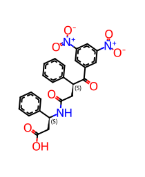 O=C(O)C[C@H](NC(=O)C[C@H](C(=O)c1cc([N+](=O)[O-])cc([N+](=O)[O-])c1)c1ccccc1)c1ccccc1